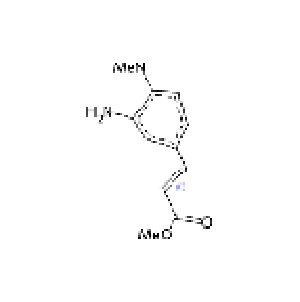 CNc1ccc(/C=C/C(=O)OC)cc1N